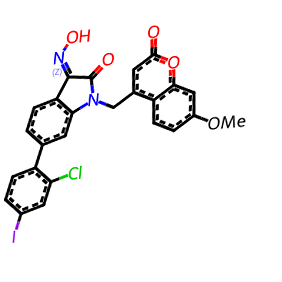 COc1ccc2c(CN3C(=O)/C(=N\O)c4ccc(-c5ccc(I)cc5Cl)cc43)cc(=O)oc2c1